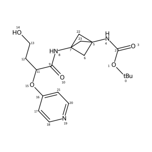 CC(C)(C)OC(=O)NC12CC(NC(=O)C(CCO)Oc3ccncc3)(C1)C2